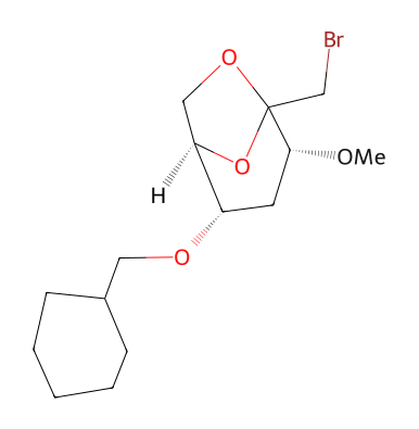 CO[C@@H]1C[C@H](OCC2CCCCC2)[C@H]2COC1(CBr)O2